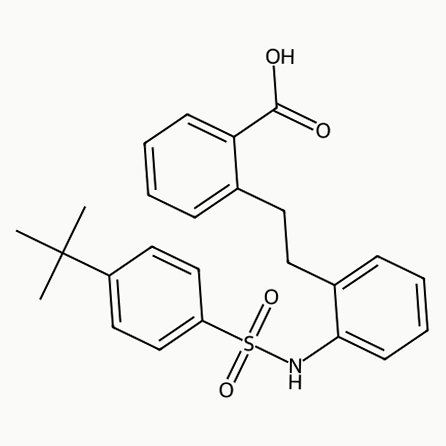 CC(C)(C)c1ccc(S(=O)(=O)Nc2ccccc2CCc2ccccc2C(=O)O)cc1